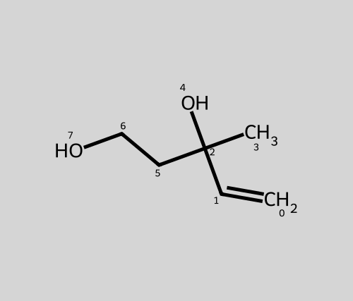 C=CC(C)(O)CCO